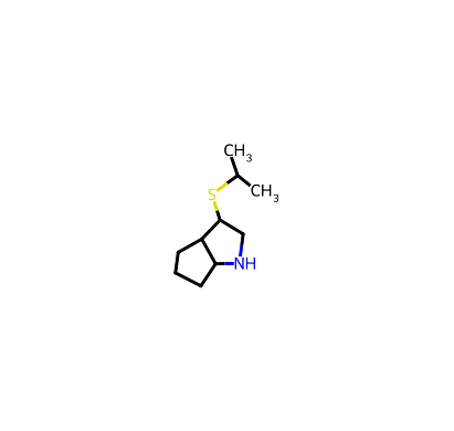 CC(C)SC1CNC2CCCC21